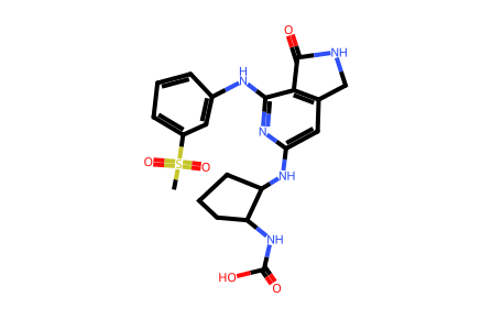 CS(=O)(=O)c1cccc(Nc2nc(NC3CCCC3NC(=O)O)cc3c2C(=O)NC3)c1